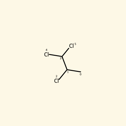 CC(Cl)[C](Cl)Cl